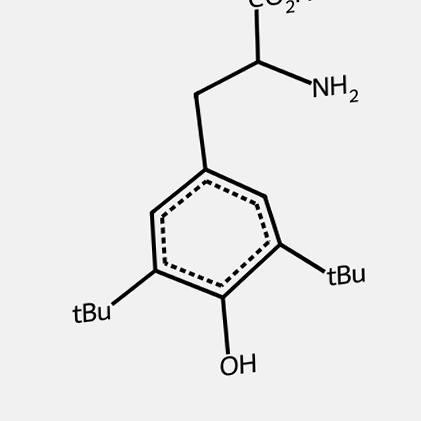 CC(C)(C)c1cc(CC(N)C(=O)O)cc(C(C)(C)C)c1O